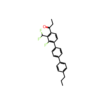 CCCc1ccc(-c2ccc(-c3ccc(C(=O)CC)c(C(F)F)c3F)cc2)cc1